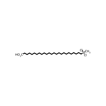 C[Si](Cl)(Cl)CCCCCCCCCCCCCCCCCCCCCCCCC(=O)O